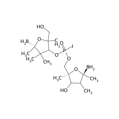 B[C@]1(C)O[C@](C)(COP(=O)(I)OC2C(C)(CO)O[C@](B)(C)C2(C)C)C(O)C1C